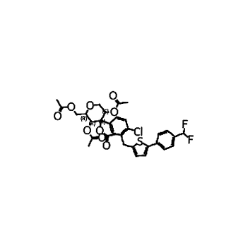 CC(=O)OC[C@H]1OC[C@H](OC(C)=O)[C@](OC(C)=O)(c2ccc(Cl)c(Cc3ccc(-c4ccc(C(F)F)cc4)s3)c2)[C@@H]1OC(C)=O